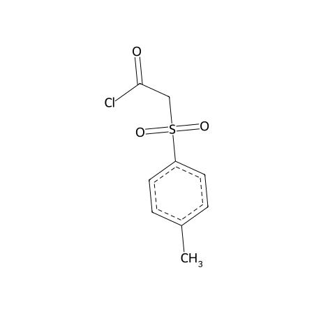 Cc1ccc(S(=O)(=O)CC(=O)Cl)cc1